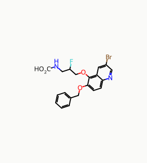 O=C(O)NCC(F)COc1c(OCc2ccccc2)ccc2ncc(Br)cc12